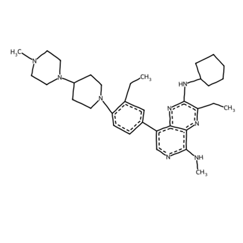 CCc1cc(-c2cnc(NC)c3nc(CC)c(NC4CCCCC4)nc23)ccc1N1CCC(N2CCN(C)CC2)CC1